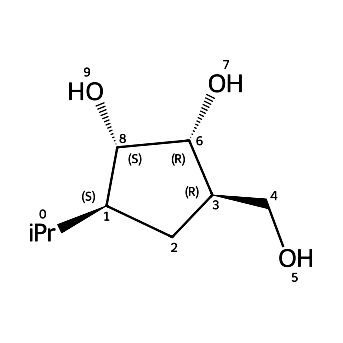 CC(C)[C@@H]1C[C@H](CO)[C@@H](O)[C@H]1O